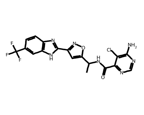 CC(NC(=O)c1ncnc(N)c1Cl)c1cc(-c2nc3ccc(C(F)(F)F)cc3[nH]2)no1